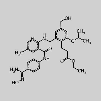 CCOC(=O)CCc1c(CNc2ncc(C)cc2C(=O)Nc2ccc(/C(N)=N/O)cc2)cc(CO)cc1OC(C)C